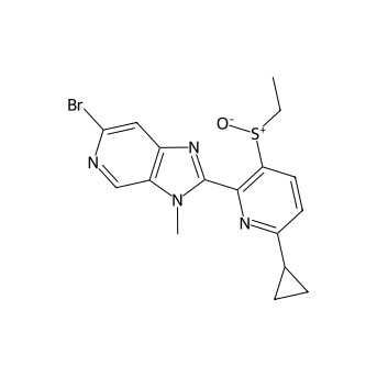 CC[S+]([O-])c1ccc(C2CC2)nc1-c1nc2cc(Br)ncc2n1C